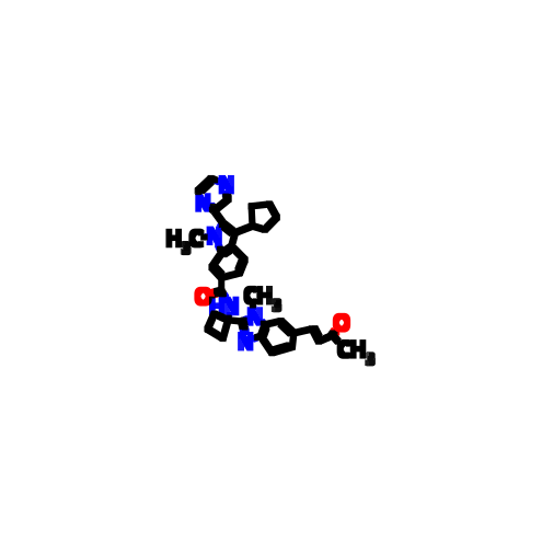 CC(=O)/C=C/c1ccc2nc(C3(NC(=O)c4ccc5c(C6CCCC6)c(-c6cnccn6)n(C)c5c4)CCC3)n(C)c2c1